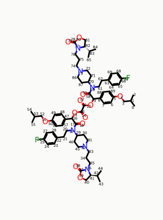 CC(C)COc1ccc(C(OC(=O)C(=O)OC(C(=O)N(CCc2ccc(F)cc2)C2CCN(CCCN3C(=O)OC[C@@H]3C(C)C)CC2)c2ccc(OCC(C)C)cc2)C(=O)N(CCc2ccc(F)cc2)C2CCN(CCCN3C(=O)OC[C@@H]3C(C)C)CC2)cc1